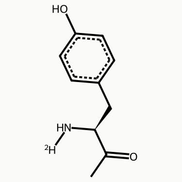 [2H]N[C@@H](Cc1ccc(O)cc1)C(C)=O